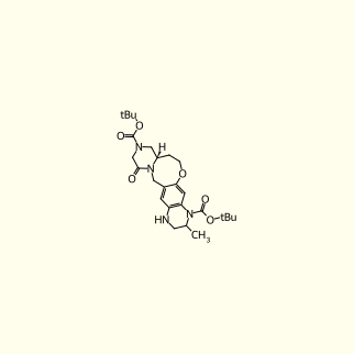 CC1CNc2cc3c(cc2N1C(=O)OC(C)(C)C)OCC[C@H]1CN(C(=O)OC(C)(C)C)CC(=O)N1C3